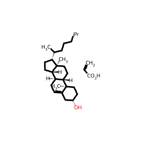 C=CC(=O)O.CC(C)CCCC(C)[C@H]1CC[C@H]2[C@@H]3CC=C4C[C@@H](O)CC[C@]4(C)[C@H]3CC[C@]12C